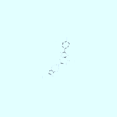 C=C(Cn1nc(-c2ccc(F)c(C)c2)nc1CC)N1CCc2nc(C)sc2CC1